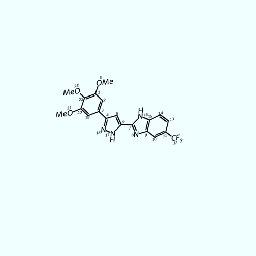 COc1cc(-c2cc(-c3nc4cc(C(F)(F)F)ccc4[nH]3)[nH]n2)cc(OC)c1OC